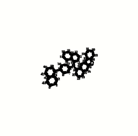 c1ccc2c(-c3ccc(N(c4cccc5ccccc45)c4cccc5cc6oc7ccccc7c6cc45)cc3)cccc2c1